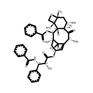 CC(=O)O[C@H]1C(=O)[C@]2(C)[C@@H](O)C[C@@]3(C)OC[C@@]3(OC(C)=O)[C@H]2[C@H](OC(=O)c2ccccc2)[C@]2(O)C[C@H](OC(=O)[C@H](O)[C@@H](NC(=O)c3ccccc3)c3ccccc3)C=C1C2(C)C